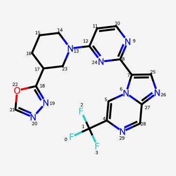 FC(F)(F)c1cn2c(-c3nccc(N4CCCC(c5nnco5)C4)n3)cnc2cn1